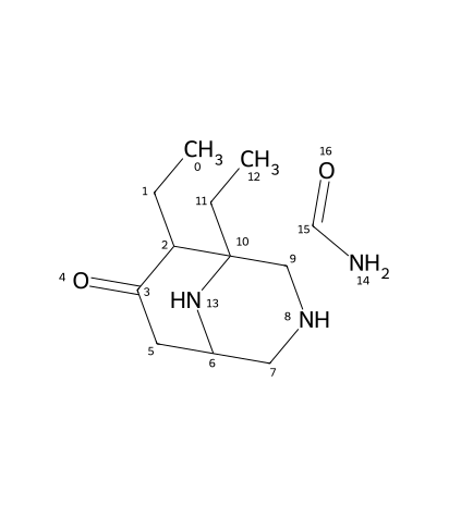 CCC1C(=O)CC2CNCC1(CC)N2.NC=O